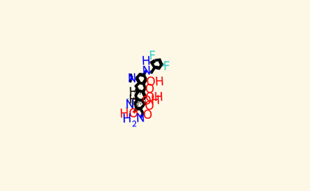 CN(C)c1cc(NCc2cc(F)cc(F)c2)c(O)c2c1C[C@H]1C[C@H]3[C@H](N(C)C)C(O)=C(C(N)=O)C(=O)[C@@]3(O)C(O)=C1C2=O